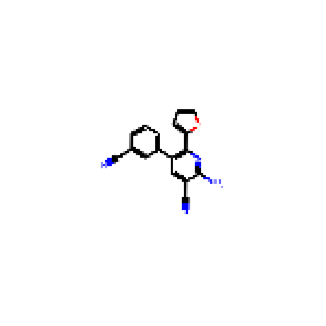 N#Cc1cccc(-c2cc(C#N)c(N)nc2-c2ccco2)c1